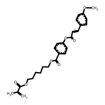 C=C(C)C(=O)OCCCCCCOC(=O)c1ccc(OC(=O)/C=C/c2ccc(OC)cc2)cc1